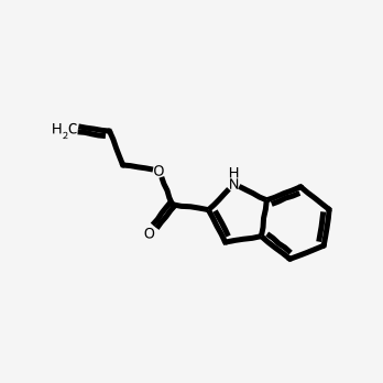 C=CCOC(=O)c1cc2ccccc2[nH]1